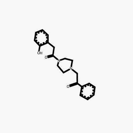 O=C(CN1CCN(C(=O)Cc2ccccc2O)CC1)c1ccccc1